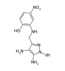 CC(C)n1nc(CNc2cc([N+](=O)[O-])ccc2O)c(N)c1N